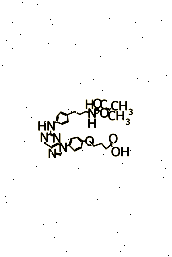 CC(C)(C)OC(=O)NCCCc1ccc(Nc2ncc3ncn(-c4ccc(OCCCC(=O)O)cc4)c3n2)cc1